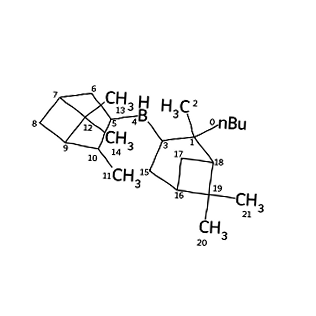 CCCCC1(C)C(BC2CC3CC(C2C)C3(C)C)CC2CC1C2(C)C